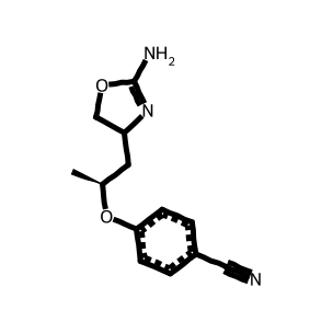 C[C@@H](CC1COC(N)=N1)Oc1ccc(C#N)cc1